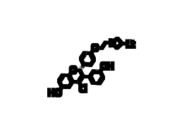 CCC1CN(CCOc2ccc([C@H]3Oc4ccc(O)cc4C(Cl)=C3c3cccc(O)c3)cc2)C1